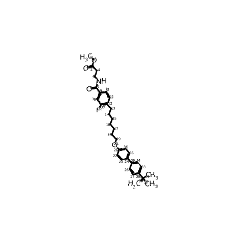 COC(=O)CCNC(=O)c1ccc(CCCCCCCOc2ccc(-c3ccc(C(C)(C)C)cc3)cc2)c(F)c1